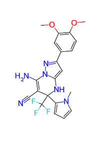 COc1ccc(-c2cc3n(n2)C(N)=C(C#N)C(c2cccn2C)(C(F)(F)F)N3)cc1OC